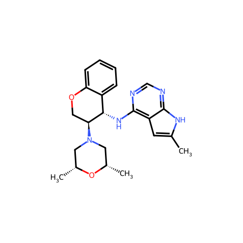 Cc1cc2c(N[C@H]3c4ccccc4OC[C@@H]3N3C[C@@H](C)O[C@@H](C)C3)ncnc2[nH]1